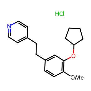 COc1ccc(CCc2ccncc2)cc1OC1CCCC1.Cl